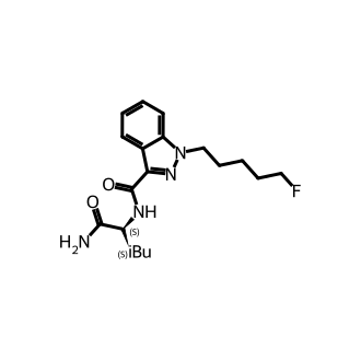 CC[C@H](C)[C@H](NC(=O)c1nn(CCCCCF)c2ccccc12)C(N)=O